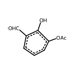 CC(=O)Oc1cccc([C]=O)c1O